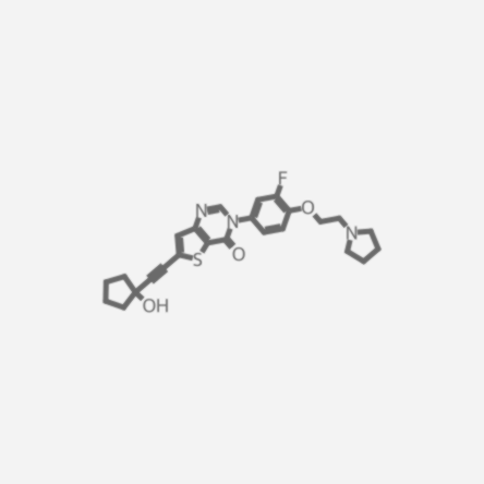 O=c1c2sc(C#CC3(O)CCCC3)cc2ncn1-c1ccc(OCCN2CCCC2)c(F)c1